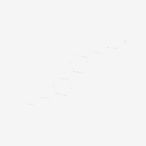 CCCCCC1OCC(N2CCC(CCCC)CC2)CO1